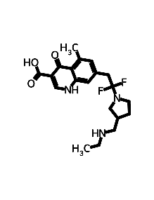 CCNCC1CCN(C(F)(F)Cc2cc(C)c3c(=O)c(C(=O)O)c[nH]c3c2)C1